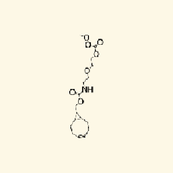 COOC(=O)OCCOCCNC(=O)OCC1C2CCC#CCCC21